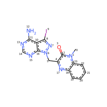 Cn1c(=O)c(Cn2nc(I)c3c(N)ncnc32)nc2ccccc21